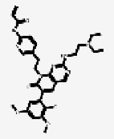 C=CC(=O)Nc1ccc(CCn2c(=O)c(-c3cc(OC)cc(OC)c3Cl)cc3cnc(NCCN(CC)CC)nc32)cn1